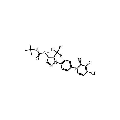 CC(C)(C)OC(=O)Nc1cnn(-c2ccc(-n3ccc(Cl)c(Cl)c3=O)cc2)c1C(F)(F)F